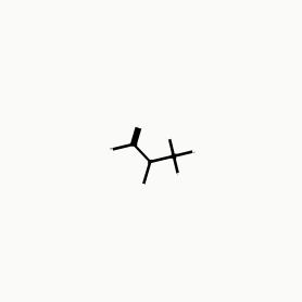 CC(C(=O)Cl)C(F)(F)F